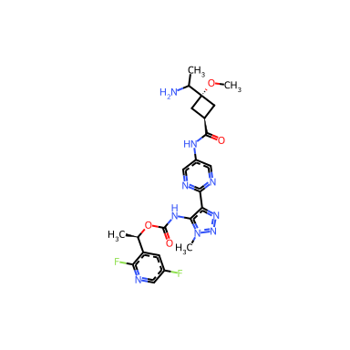 CO[C@]1(C(C)N)C[C@@H](C(=O)Nc2cnc(-c3nnn(C)c3NC(=O)O[C@H](C)c3cc(F)cnc3F)nc2)C1